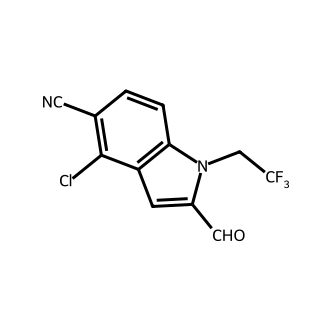 N#Cc1ccc2c(cc(C=O)n2CC(F)(F)F)c1Cl